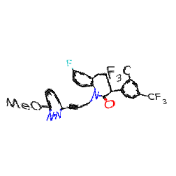 COc1ccc(C#CCN2C(=O)C(c3ccc(C(F)(F)F)cc3C(F)(F)F)CCc3cc(F)ccc32)nn1